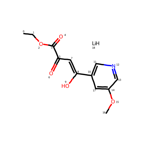 CCOC(=O)C(=O)C=C(O)c1cncc(OC)c1.[LiH]